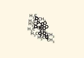 Cc1cc(C)c(-c2cc3cc(c2)-c2c(C)cc(C)cc2OP2(=O)Oc4c-3cc3c(c4C4=C5CCCCC5=C[C@@H](Cc5ccc(-c6c(C)cc(C)cc6C)cc5-c5c(C)cc(C)cc5C)C4O2)CCCC3)c(C)c1